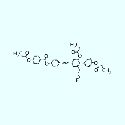 C=CC(=O)Oc1ccc(C(=O)Oc2ccc(C#Cc3cc(CCCF)c(-c4ccc(OC(=O)C=C)cc4)c(OC(=O)C=C)c3)cc2)cc1